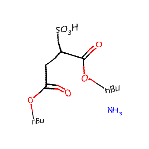 CCCCOC(=O)CC(C(=O)OCCCC)S(=O)(=O)O.N